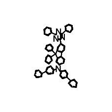 c1ccc(-c2ccc(N(c3ccc(-c4ccccc4)cc3)c3ccc4c(c3)C(c3ccccc3)(c3ccccc3)c3cc(-c5nc(-c6ccccc6)nc(-c6ccccc6)n5)ccc3-4)cc2)cc1